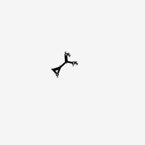 C=C(C)C1=CO1